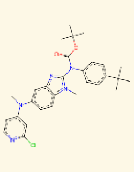 CN(c1ccnc(Cl)c1)c1ccc2c(c1)nc(N(C(=O)OC(C)(C)C)c1ccc(C(C)(C)C)cc1)n2C